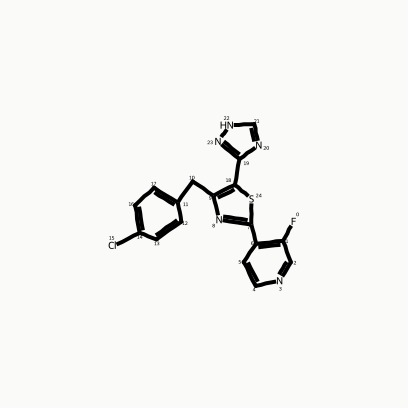 Fc1cnccc1-c1nc(Cc2ccc(Cl)cc2)c(-c2nc[nH]n2)s1